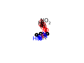 CCOc1nc2cccc(C(=O)OC(C)OC(=O)O[C@H]3CO[C@H]4[C@@H]3OC[C@H]4O[N+](=O)[O-])c2n1Cc1ccc(-c2ccccc2-c2nnn[nH]2)cc1